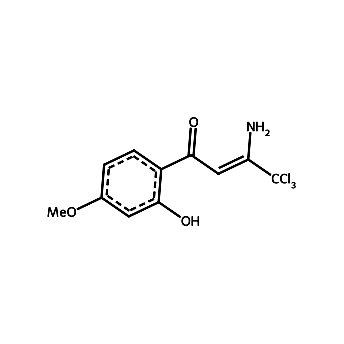 COc1ccc(C(=O)/C=C(\N)C(Cl)(Cl)Cl)c(O)c1